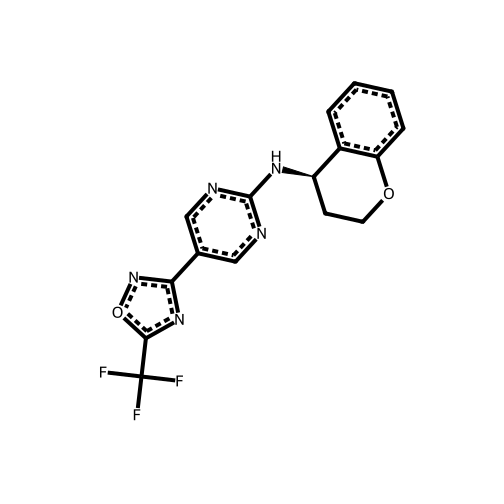 FC(F)(F)c1nc(-c2cnc(N[C@@H]3CCOc4ccccc43)nc2)no1